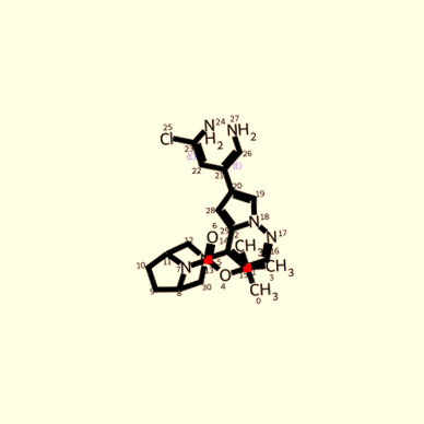 CC(C)(C)OC(=O)N1C2CCC1CN(c1ccnn3cc(C(/C=C(\N)Cl)=C/N)cc13)C2